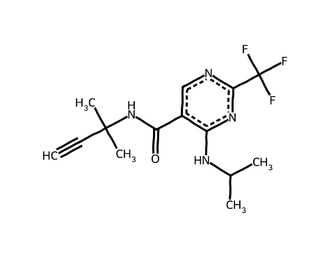 C#CC(C)(C)NC(=O)c1cnc(C(F)(F)F)nc1NC(C)C